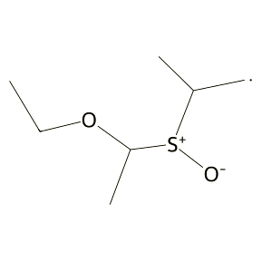 [CH2]C(C)[S+]([O-])C(C)OCC